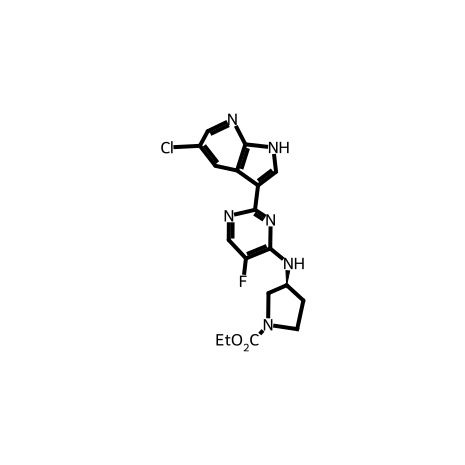 CCOC(=O)N1CC[C@H](Nc2nc(-c3c[nH]c4ncc(Cl)cc34)ncc2F)C1